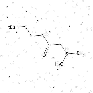 C[SH](C)CC(=O)NCCC(C)(C)C